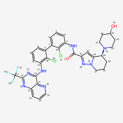 O=C(Nc1cccc(-c2cccc(Nc3nc(C(F)(F)F)nc4cccnc34)c2Cl)c1Cl)c1cc2n(n1)CCC[C@@H]2N1CCC(O)CC1